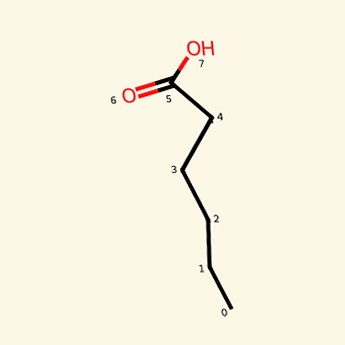 CCCC[CH]C(=O)O